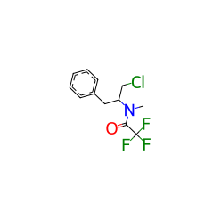 CN(C(=O)C(F)(F)F)C(CCl)Cc1ccccc1